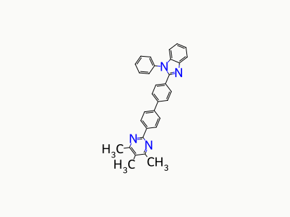 Cc1nc(-c2ccc(-c3ccc(-c4nc5ccccc5n4-c4ccccc4)cc3)cc2)nc(C)c1C